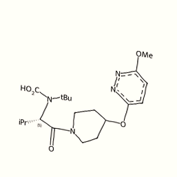 COc1ccc(OC2CCN(C(=O)[C@H](C(C)C)N(C(=O)O)C(C)(C)C)CC2)nn1